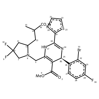 COC(=O)C1=C(CN2CC(F)(F)CC2CC(C)C(=O)O)NC(c2nccs2)=N[C@H]1c1ccc(F)cc1Br